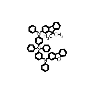 CC1(C)c2ccccc2-c2ccc(N(c3ccccc3)c3ccc([Si](c4ccccc4)(c4ccccc4)c4cccc(N(c5ccccc5)c5ccc6c(c5)oc5ccccc56)c4)cc3)cc21